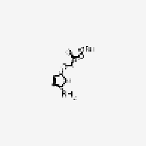 CC(C)(C)OC(=O)CO[C@@H]1C=C[C@@H](N)C1